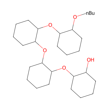 CCCCOC1CCCCC1OC1CCCCC1OC1CCCCC1OC1CCCCC1O